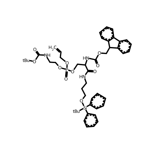 C=CCOP(=O)(OCCNC(=O)OC(C)(C)C)OCC(NC(=O)OCC1c2ccccc2-c2ccccc21)C(=O)NCCCO[Si](c1ccccc1)(c1ccccc1)C(C)(C)C